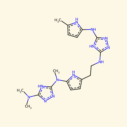 Cc1ccc(Nc2nnc(NCCc3ccc(N(C)c4nnc(N(C)C)[nH]4)[nH]3)[nH]2)[nH]1